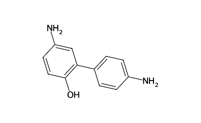 Nc1ccc(-c2cc(N)ccc2O)cc1